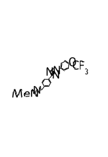 [CH2]N/N=C/c1ccc(-c2ncn(-c3ccc(OC(F)(F)F)cc3)n2)cc1